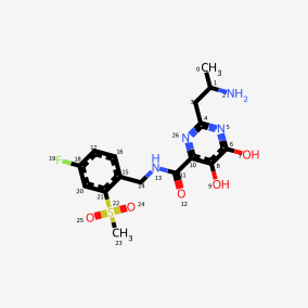 CC(N)Cc1nc(O)c(O)c(C(=O)NCc2ccc(F)cc2S(C)(=O)=O)n1